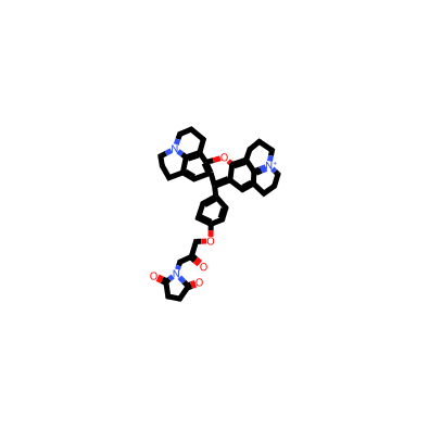 O=C(COc1ccc(C2=c3cc4c5c(c3Oc3c2cc2c6c3CCCN6CCC2)CCC[N+]=5CCC4)cc1)CN1C(=O)CCC1=O